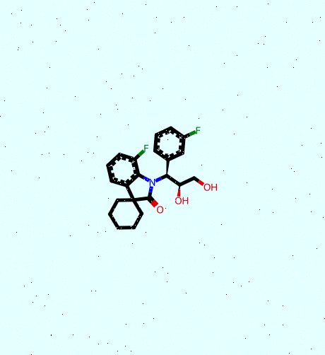 O=C1N([C@@H](c2cccc(F)c2)[C@H](O)CO)c2c(F)cccc2C12CCCCC2